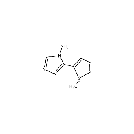 [CH2][SH]1C=CC=C1c1nncn1N